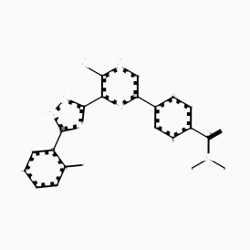 CCc1ccccc1-c1nnc(-c2nc(-c3ccc(C(=O)N(C)C)cc3)cnc2N)o1